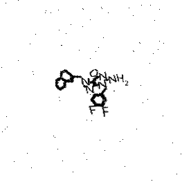 Nc1nc(=O)c2c(ncn2Cc2ccc3ccccc3c2)n1Cc1ccc(F)c(F)c1